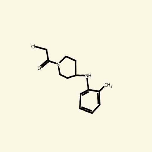 Cc1ccccc1NC1CCN(C(=O)CCl)CC1